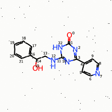 O=c1nc(-c2ccncc2)nc(NCC(O)c2ccccc2)[nH]1